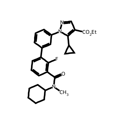 CCOC(=O)c1cnn(-c2cccc(-c3cccc(C(=O)N(C)C4CCCCC4)c3F)c2)c1C1CC1